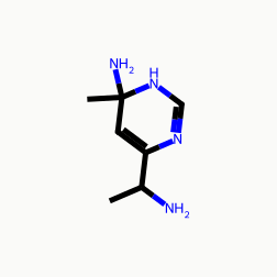 CC(N)C1=CC(C)(N)NC=N1